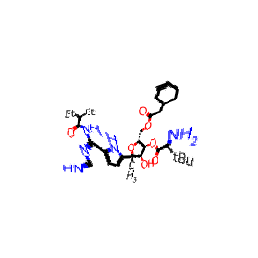 CCC(CC)C(=O)N/C(=N/C=N)c1ccc([C@]2(C)O[C@H](COC(=O)CC3CCCCC3)[C@@H](OC(=O)[C@@H](N)C(C)(C)C)[C@H]2O)[nH]1